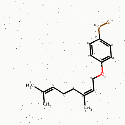 CC(C)=CCCC(C)=CCOc1ccc(S[S])cc1